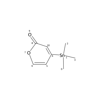 [CH3][Sn]([CH3])([CH3])[c]1ccoc(=O)c1